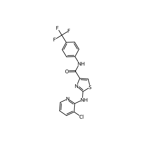 O=C(Nc1ccc(C(F)(F)F)cc1)c1csc(Nc2ncccc2Cl)n1